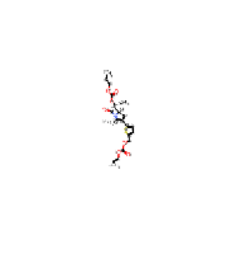 C=CCOC(=O)OCc1ccc(C2=C(C(=O)O)N3C(=O)[C@H]([C@@H](C)OC(=O)OCC=C)[C@H]3C2)s1